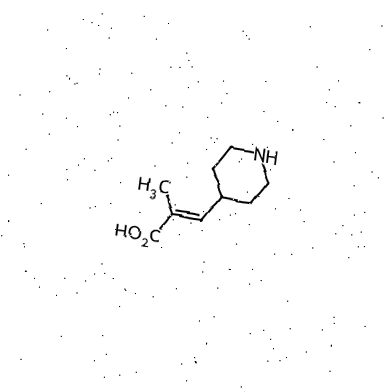 C/C(=C\C1CCNCC1)C(=O)O